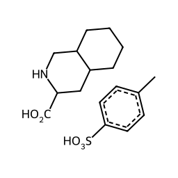 Cc1ccc(S(=O)(=O)O)cc1.O=C(O)C1CC2CCCCC2CN1